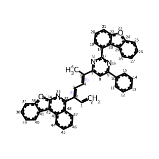 C=C/C(=C\C=C(/C)c1cc(-c2ccccc2)nc(-c2cccc3oc4ccccc4c23)n1)c1nc2oc3ccccc3c2c2ccccc12